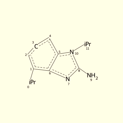 CC(C)c1cccc2c1nc(N)n2C(C)C